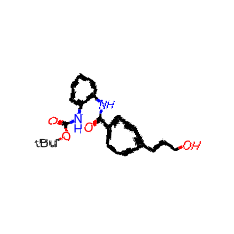 CC(C)(C)OC(=O)Nc1ccccc1NC(=O)c1ccc(/C=C/CO)cc1